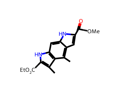 CCOC(=O)c1[nH]c2cc3[nH]c(C(=O)OC)cc3c(C)c2c1C